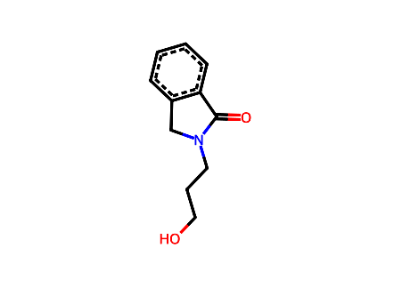 O=C1c2ccccc2CN1CCCO